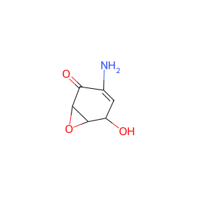 NC1=CC(O)C2OC2C1=O